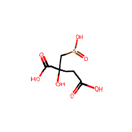 O=C(O)CC(O)(CS(=O)O)C(=O)O